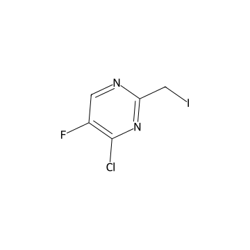 Fc1cnc(CI)nc1Cl